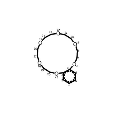 [c]1ccc2c(c1)OCCOCCOCCOCCOCCO2